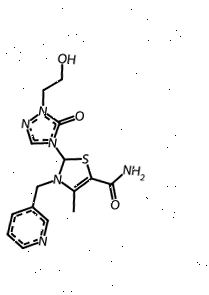 CC1=C(C(N)=O)SC(n2cnn(CCO)c2=O)N1Cc1cccnc1